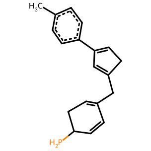 Cc1ccc(C2=CCC(CC3=CCC(P)C=C3)=C2)cc1